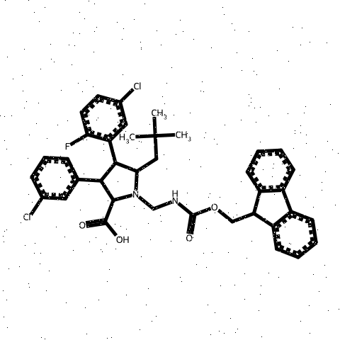 CC(C)(C)CC1C(c2cc(Cl)ccc2F)C(c2cccc(Cl)c2)C(C(=O)O)N1CNC(=O)OCC1c2ccccc2-c2ccccc21